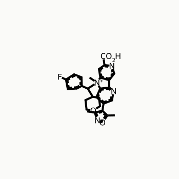 Cc1noc(C)c1-c1cnc2c(c1)[N+](C)(C(c1ccc(F)cc1)C1CCOCC1)c1cc(C(=O)O)ncc1-2